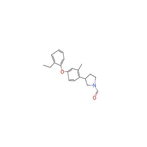 CCc1ccccc1Oc1ccc(C2CCN(C=O)C2)c(C)c1